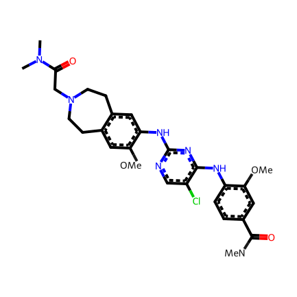 CNC(=O)c1ccc(Nc2nc(Nc3cc4c(cc3OC)CCN(CC(=O)N(C)C)CC4)ncc2Cl)c(OC)c1